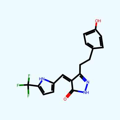 O=C1NN=C(CCc2ccc(O)cc2)/C1=C/c1ccc(C(F)(F)F)[nH]1